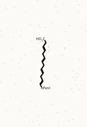 CCCCCC=CCC=CCC=CCC=CCC(=O)O